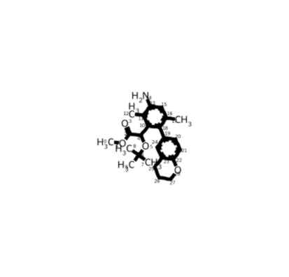 COC(=O)C(OC(C)(C)C)c1c(C)c(N)cc(C)c1-c1ccc2c(c1)CCCO2